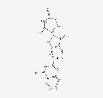 CCC(NC(=O)c1ccc2c(c1)CN(C1CCC(=O)NC1=O)C2=O)c1ccccc1